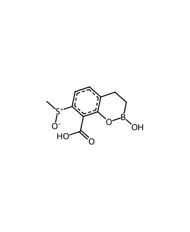 C[S+]([O-])c1ccc2c(c1C(=O)O)OB(O)CC2